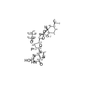 C=C(C)[C@H]1CC[C@@]2(C)S[P@](=S)(OC[C@H]3O[C@@H](n4cnc5c(=O)[nH]c(O)nc54)[C@H](F)[C@@H]3O[Si](C)(C)C(C)(C)C)O[C@@H]2C1